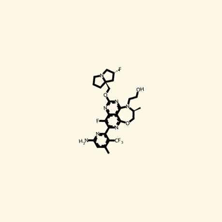 Cc1cc(N)nc(-c2nc3c4c(nc(OC[C@@]56CCCN5C[C@H](F)C6)nc4c2F)N(CCO)[C@@H](C)CO3)c1C(F)(F)F